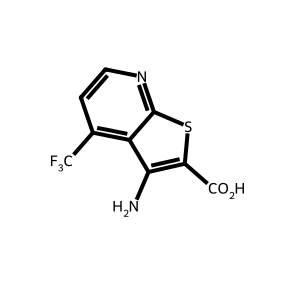 Nc1c(C(=O)O)sc2nccc(C(F)(F)F)c12